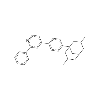 CC1CC2CC(C)CC(c3ccc(-c4ccnc(-c5ccccc5)c4)cc3)(C1)C2